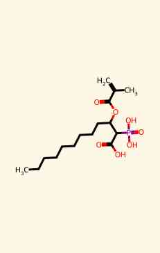 C=C(C)C(=O)OC(CCCCCCCCC)C(C(=O)O)P(=O)(O)O